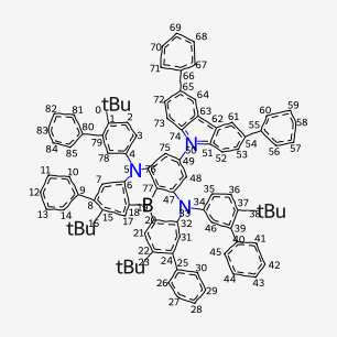 CC(C)(C)c1ccc(N2c3cc(-c4ccccc4)c(C(C)(C)C)cc3B3c4cc(C(C)(C)C)c(-c5ccccc5)cc4N(c4ccc(C(C)(C)C)c(-c5ccccc5)c4)c4cc(-n5c6ccc(-c7ccccc7)cc6c6cc(-c7ccccc7)ccc65)cc2c43)cc1-c1ccccc1